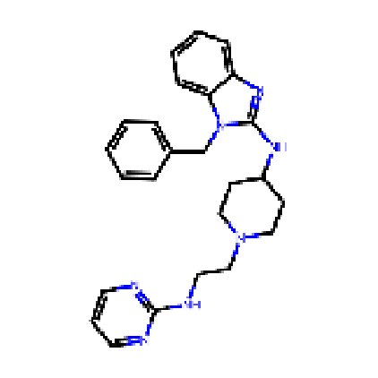 c1ccc(Cn2c(NC3CCN(CCNc4ncccn4)CC3)nc3ccccc32)cc1